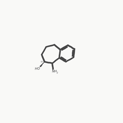 NC1c2ccccc2CCC[C@@H]1O